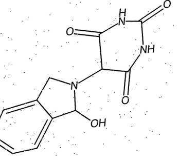 O=C1NC(=O)C(N2Cc3ccccc3C2O)C(=O)N1